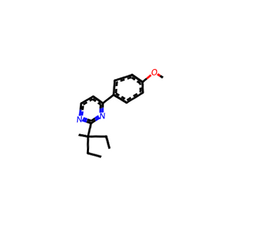 CCC(C)(CC)c1nccc(-c2ccc(OC)cc2)n1